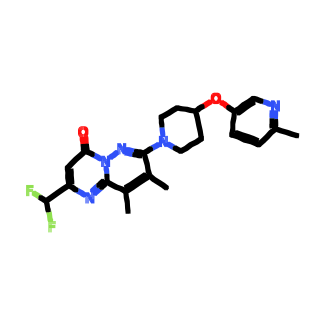 Cc1ccc(OC2CCN(c3nn4c(=O)cc(C(F)F)nc4c(C)c3C)CC2)cn1